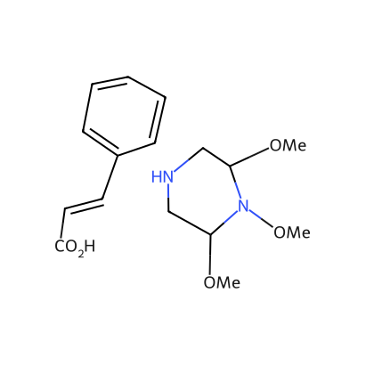 COC1CNCC(OC)N1OC.O=C(O)C=Cc1ccccc1